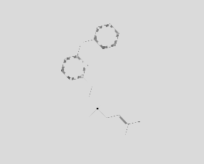 CC(C)(CC=C(F)Cl)OCc1cccc(Oc2ccccc2)n1